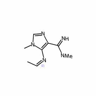 C/C=N\c1c(C(=N)NC)ncn1C